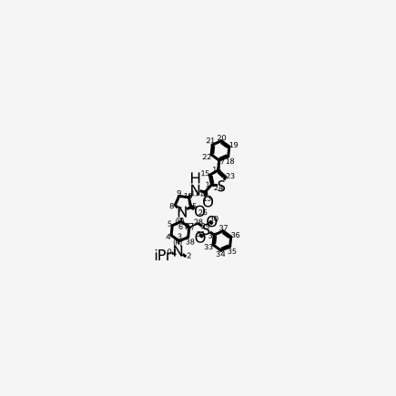 CC(C)N(C)[C@@H]1CC[C@@H](N2CCC(NC(=O)c3cc(-c4ccccc4)cs3)C2=O)[C@@H](CS(=O)(=O)c2ccccc2)C1